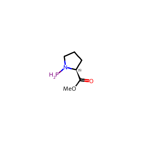 COC(=O)[C@@H]1CCCN1P